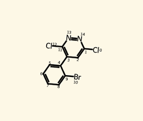 Clc1cc(-c2ccccc2Br)c(Cl)nn1